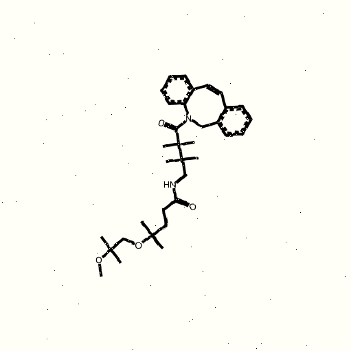 COC(C)(C)COC(C)(C)CCC(=O)NCC(C)(C)C(C)(C)C(=O)N1Cc2ccccc2/C=C\c2ccccc21